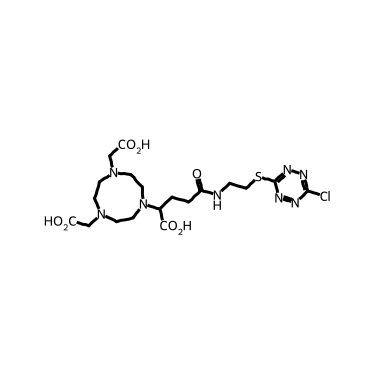 O=C(O)CN1CCN(CC(=O)O)CCN(C(CCC(=O)NCCSc2nnc(Cl)nn2)C(=O)O)CC1